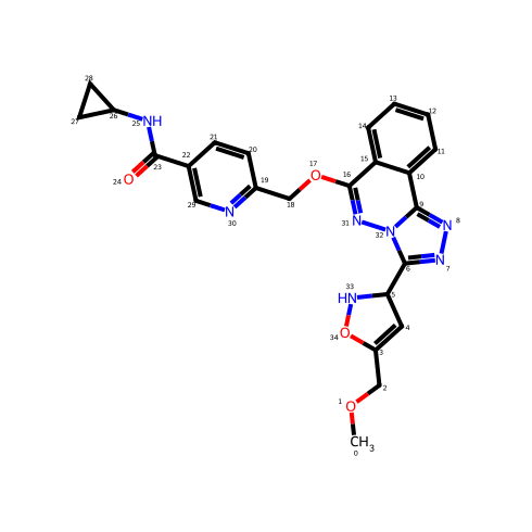 COCC1=CC(c2nnc3c4ccccc4c(OCc4ccc(C(=O)NC5CC5)cn4)nn23)NO1